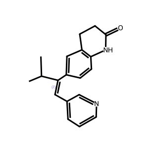 CC(C)/C(=C/c1cccnc1)c1ccc2c(c1)CCC(=O)N2